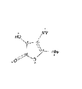 CCCC1=C(CCC)C(O)C(=O)O1